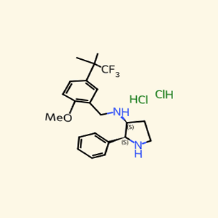 COc1ccc(C(C)(C)C(F)(F)F)cc1CN[C@H]1CCN[C@H]1c1ccccc1.Cl.Cl